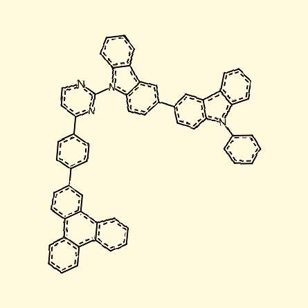 c1ccc(-n2c3ccccc3c3cc(-c4ccc5c(c4)c4ccccc4n5-c4nccc(-c5ccc(-c6ccc7c8ccccc8c8ccccc8c7c6)cc5)n4)ccc32)cc1